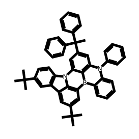 CC(C)(C)c1ccc2c(c1)c1cc(C(C)(C)C)cc3c1n2-c1cc(C(C)(c2ccccc2)c2ccccc2)cc2c1B3c1ccccc1N2c1ccccc1